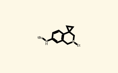 CCN1Cc2cc(NC(C)(C)C)ccc2C2(CC2)C1